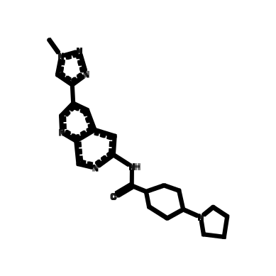 Cn1cc(-c2cnc3cnc(NC(=O)C4CCC(N5CCCC5)CC4)cc3c2)nn1